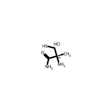 C[C@](N)(CS)C(N)=O.Cl